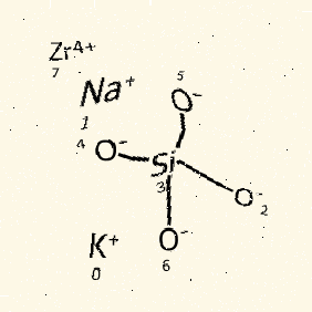 [K+].[Na+].[O-][Si]([O-])([O-])[O-].[Zr+4]